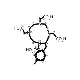 Cc1ccc(CC2CN(CC(=O)O)CCN(CC(=O)O)CCN(CC(=O)O)CCN2CC(=O)O)cc1